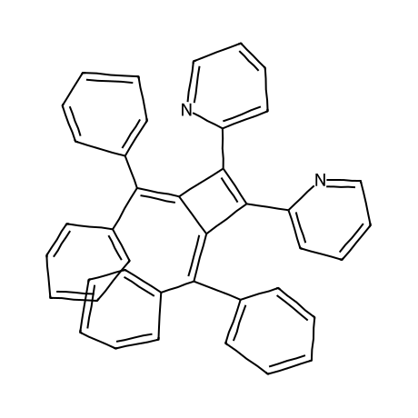 c1ccc(C(=C2C(=C(c3ccccc3)c3ccccc3)C(c3ccccn3)=C2c2ccccn2)c2ccccc2)cc1